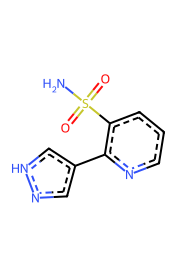 NS(=O)(=O)c1cccnc1-c1cn[nH]c1